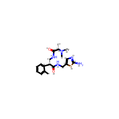 Cc1ccccc1[C@H](CNC(=O)[C@H](C)N(C)C(C)C)C(=O)NCc1cnc(N)s1